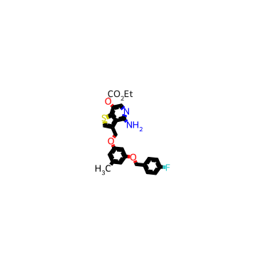 CCOC(=O)Oc1cnc(N)c2c(COc3cc(C)cc(OCc4ccc(F)cc4)c3)csc12